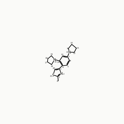 Cc1nc(-c2ccc(N3CCCC3)cc2N2CCCC2)cs1